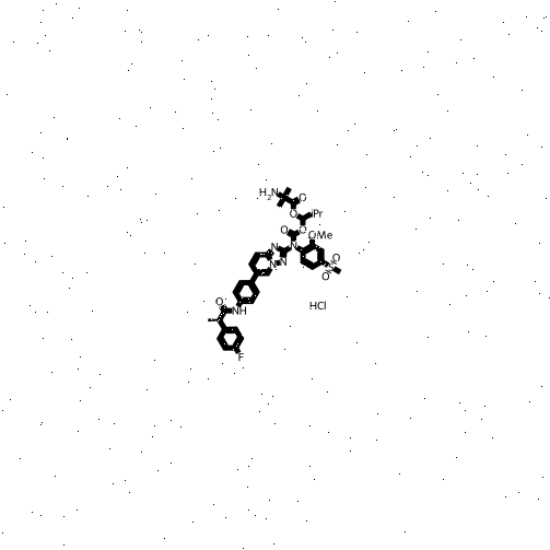 COc1cc(S(C)(=O)=O)ccc1N(C(=O)OC(OC(=O)C(C)(C)N)C(C)C)c1nc2ccc(-c3ccc(NC(=O)[C@H](C)c4ccc(F)cc4)cc3)cn2n1.Cl